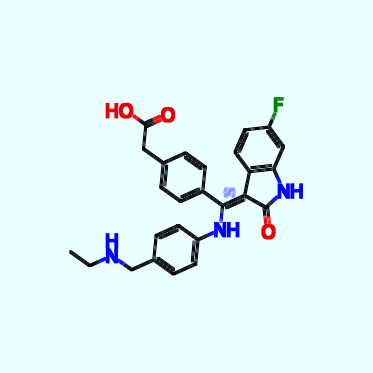 CCNCc1ccc(N/C(=C2\C(=O)Nc3cc(F)ccc32)c2ccc(CC(=O)O)cc2)cc1